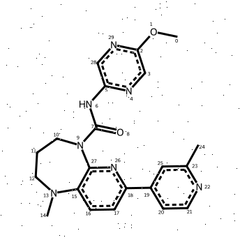 COc1cnc(NC(=O)N2CCCN(C)c3ccc(-c4ccnc(C)c4)nc32)cn1